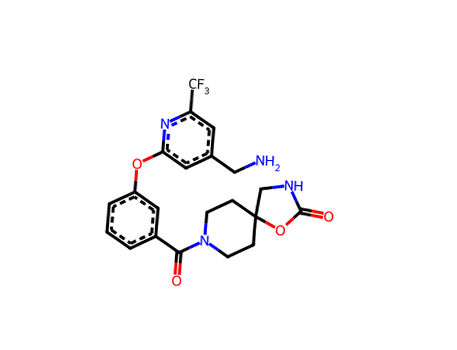 NCc1cc(Oc2cccc(C(=O)N3CCC4(CC3)CNC(=O)O4)c2)nc(C(F)(F)F)c1